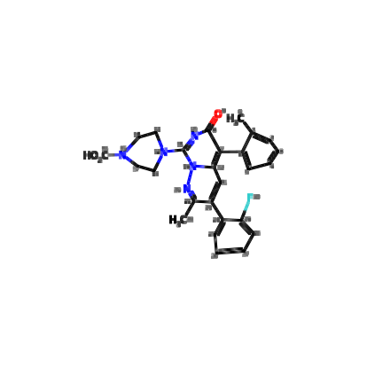 Cc1ccccc1-c1c(=O)nc(N2CCN(C(=O)O)CC2)n2nc(C)c(-c3ccccc3F)cc12